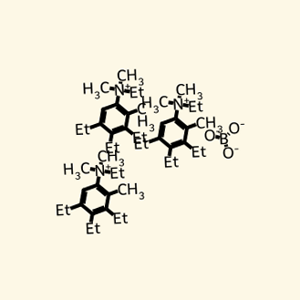 CCc1cc([N+](C)(C)CC)c(C)c(CC)c1CC.CCc1cc([N+](C)(C)CC)c(C)c(CC)c1CC.CCc1cc([N+](C)(C)CC)c(C)c(CC)c1CC.[O-]B([O-])[O-]